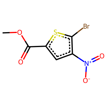 COC(=O)c1cc([N+](=O)[O-])c(Br)s1